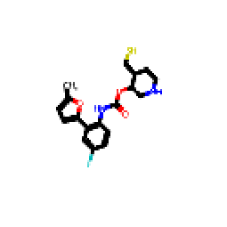 Cc1ccc(-c2cc(F)ccc2NC(=O)OC2CNCCC2CS)o1